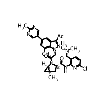 CC(=O)c1nn(CC(=O)N2[C@H](C(=O)Nc3nc(Cl)ccc3CN(C)C)C[C@@]3(C)C[C@@H]23)c2c(C)cc(-c3cnc(C)nc3)cc12